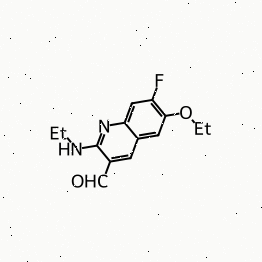 CCNc1nc2cc(F)c(OCC)cc2cc1C=O